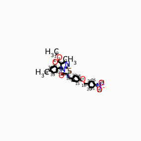 CCOC(=O)C1=C(C)N=c2s/c(=C\c3ccc(OCc4ccc([N+](=O)[O-])cc4)cc3)c(=O)n2C1c1ccc(C)cc1